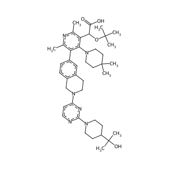 Cc1nc(C)c(C(OC(C)(C)C)C(=O)O)c(N2CCC(C)(C)CC2)c1-c1ccc2c(c1)CCN(c1ccnc(N3CCC(C(C)(C)O)CC3)n1)C2